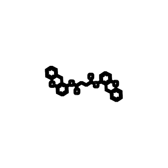 O=C(CCC(=O)Oc1cccc2c1Cc1ccccc1O2)Oc1cccc2c1Cc1ccccc1O2